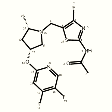 CC(=O)Nc1nc(F)c(CN2C[C@H](Oc3cc(F)c(F)cn3)C[C@@H]2C)s1